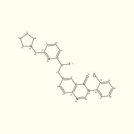 O=c1c2cc(CC(F)c3cccc(CN4CCCC4)n3)ccc2ncn1-c1ccccc1Cl